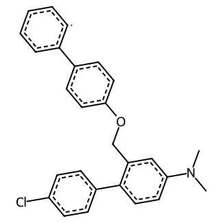 CN(C)c1ccc(-c2ccc(Cl)cc2)c(COc2ccc(-c3[c]cccc3)cc2)c1